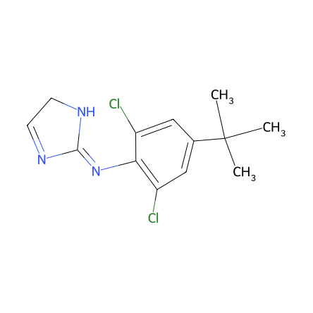 CC(C)(C)c1cc(Cl)c(N=C2N=CCN2)c(Cl)c1